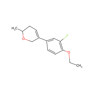 CCOc1ccc(C2=CCC(C)OC2)cc1F